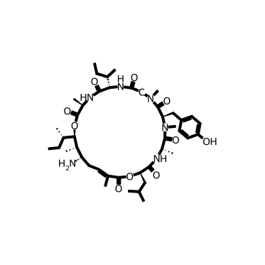 CCC(C)[C@@H]1NC(=O)CN(C)C(=O)[C@@H](Cc2ccc(O)cc2)N(C)C(=O)[C@H](C)NC(=O)[C@@H](CC(C)C)OC(=O)/C(C)=C/C[C@H](N)[C@H](C)[C@@H]([C@@H](C)CC)OC(=O)[C@@H](C)NC1=O